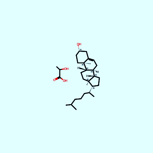 CC(C)CCCC(C)[C@H]1CC[C@H]2[C@@H]3CC=C4C[C@@H](O)CC[C@]4(C)[C@H]3CC[C@]12C.CC(O)C(=O)O